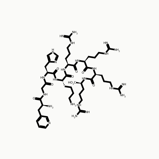 N=C(N)NCCC[C@H](NC(=O)[C@H](CCCNC(=N)N)NC(=O)[C@H](CCCNC(=N)N)NC(=O)[C@H](CCCNC(=N)N)NC(=O)[C@H](CCCCN)NC(=O)[C@H](Cc1c[nH]cn1)NC(=O)CNC(=O)[C@@H](N)Cc1cccnc1)C(=O)O